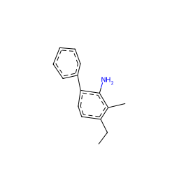 CCc1ccc(-c2ccccc2)c(N)c1C